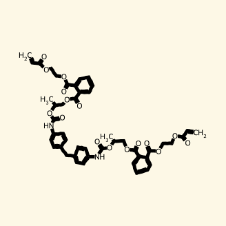 C=CC(=O)OCCOC(=O)c1ccccc1C(=O)OCC(C)OC(=O)Nc1ccc(Cc2ccc(NC(=O)OC(C)COC(=O)c3ccccc3C(=O)OCCOC(=O)C=C)cc2)cc1